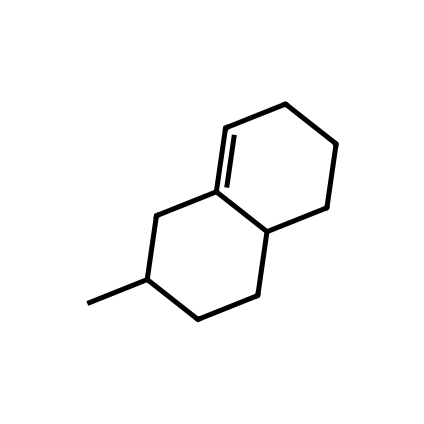 CC1CCC2CCCC=C2C1